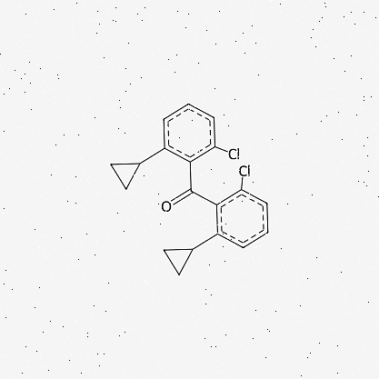 O=C(c1c(Cl)cccc1C1CC1)c1c(Cl)cccc1C1CC1